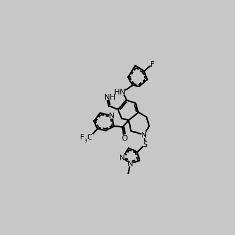 Cn1cc(SN2CCC3=CC(Nc4ccc(F)cc4)=C(C=N)CC3(C(=O)c3cc(C(F)(F)F)ccn3)C2)cn1